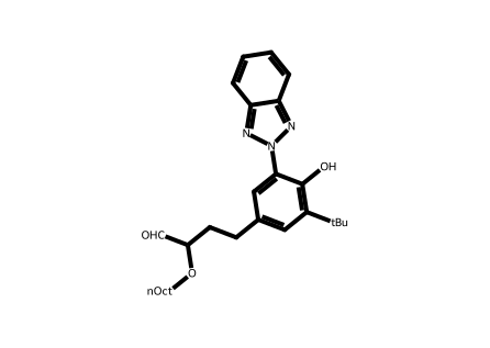 CCCCCCCCOC(C=O)CCc1cc(-n2nc3ccccc3n2)c(O)c(C(C)(C)C)c1